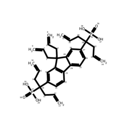 C=CCC1(CC=C)c2cc(C(CC=C)(CC=C)P(=O)(O)O)ccc2-c2ccc(C(CC=C)(CC=C)P(=O)(O)O)cc21